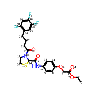 CCOC(=O)COc1ccc(NC(=O)C2SCCN2C(=O)CCCc2cc(F)c(F)cc2F)cc1